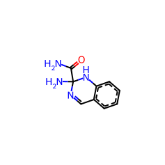 NC(=O)C1(N)N=Cc2ccccc2N1